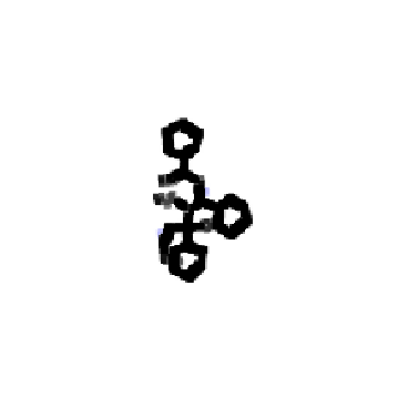 C/C=C\C(C)(c1ccccc1)N(C)/C(=N\C(=N)c1ccccc1)c1ccccc1